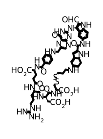 N=C(N)NCCCC(NC(=O)CCC(NC(=O)c1ccc(NCc2cnc3nc(N)[nH]c(=O)c3n2)cc1)C(=O)O)C(=O)N[C@H](CC(=O)O)C(=O)NC(CSSCCCNC1=CCC2NC(C(=O)Nc3ccc4[nH]c(C=O)cc4c3)=CC2=C1)C(=O)O